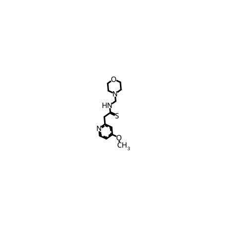 COc1ccnc(CC(=S)NCN2CCOCC2)c1